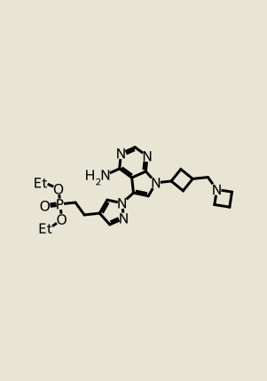 CCOP(=O)(CCc1cnn(-c2cn(C3CC(CN4CCC4)C3)c3ncnc(N)c23)c1)OCC